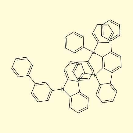 c1ccc(-c2cccc(-n3c4ccccc4c4c(-n5c6ccccc6c6ccc(-c7ccccc7)c([Si](c7ccccc7)(c7ccccc7)c7ccccc7)c65)cccc43)c2)cc1